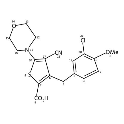 COc1ccc(Cc2c(C(=O)O)sc(N3CCOCC3)c2C#N)cc1Cl